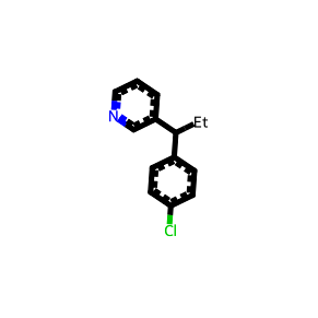 CCC(c1ccc(Cl)cc1)c1cccnc1